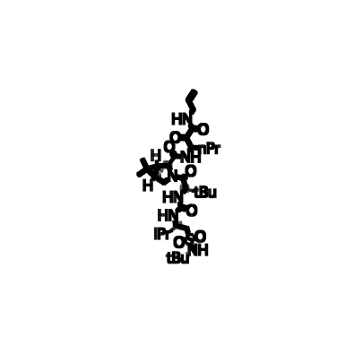 C=CCNC(=O)C(=O)C(CCC)NC(=O)[C@@H]1[C@@H]2[C@H](CN1C(=O)[C@@H](NC(=O)N[C@H](CS(=O)(=O)NC(C)(C)C)C(C)C)C(C)(C)C)C2(C)C